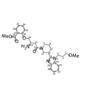 COCCCn1c(C2CCCN(C(=O)CC(N)COc3ccccc3C(=O)OC)C2)nc2ccccc21